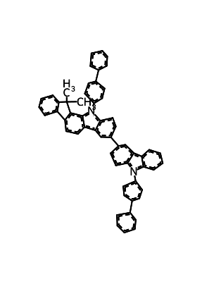 CC1(C)c2ccccc2-c2ccc3c4cc(-c5ccc6c(c5)c5ccccc5n6-c5ccc(-c6ccccc6)cc5)ccc4n(-c4ccc(-c5ccccc5)cc4)c3c21